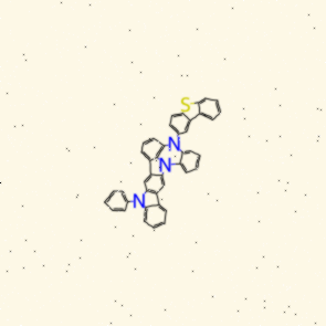 c1ccc(-n2c3ccccc3c3cc4c(cc32)c2cccc3c2n4-c2ccccc2N3c2ccc3sc4ccccc4c3c2)cc1